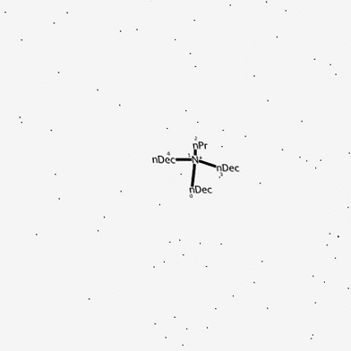 CCCCCCCCCC[N+](CCC)(CCCCCCCCCC)CCCCCCCCCC